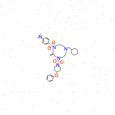 C=C1CN(S(=O)(=O)c2ccc(N(C)C)cc2)CCCN(CC2CCCCC2)CCCN(S(=O)(=O)N2CCC(Oc3ccccc3)CC2)C1